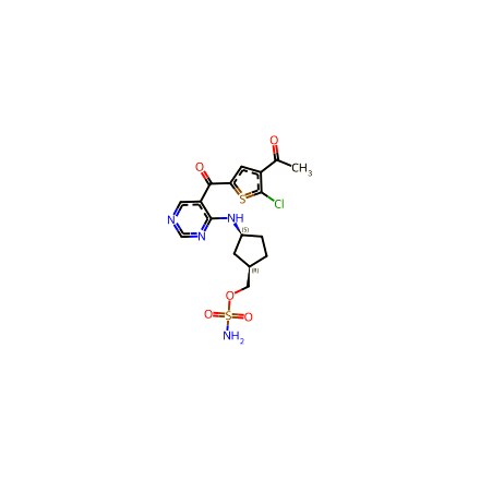 CC(=O)c1cc(C(=O)c2cncnc2N[C@H]2CC[C@@H](COS(N)(=O)=O)C2)sc1Cl